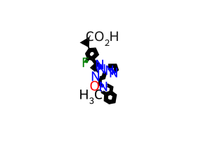 C[C@@H]1c2ccccc2CCN1C(=O)c1cc(-n2cccn2)n2nc(-c3ccc([C@H]4C[C@@H]4C(=O)O)cc3F)cc2n1